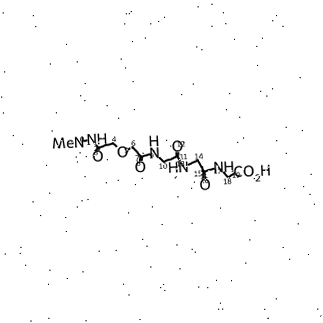 CNNC(=O)COCC(=O)NCC(=O)NCC(=O)NCC(=O)O